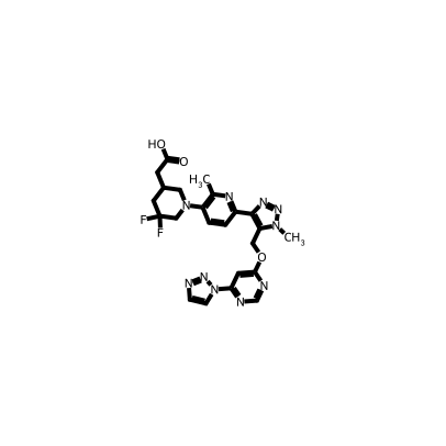 Cc1nc(-c2nnn(C)c2COc2cc(-n3ccnn3)ncn2)ccc1N1CC(CC(=O)O)CC(F)(F)C1